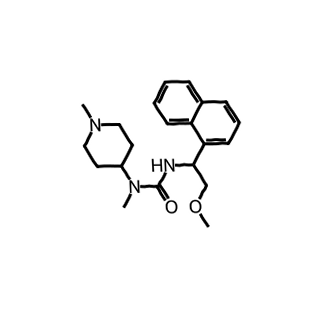 COCC(NC(=O)N(C)C1CCN(C)CC1)c1cccc2ccccc12